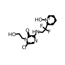 O=c1c(NCC(F)(F)c2cccc[n+]2O)ncc(Cl)n1CCO